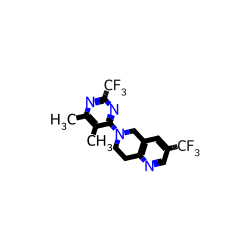 Cc1nc(C(F)(F)F)nc(N2CCc3ncc(C(F)(F)F)cc3C2)c1C